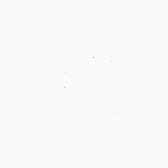 CC(C)Oc1ccc(N2CCN(C)CC2)cc1Nc1ncc(F)c(Nc2ccc3c(n2)NC(=O)CO3)n1